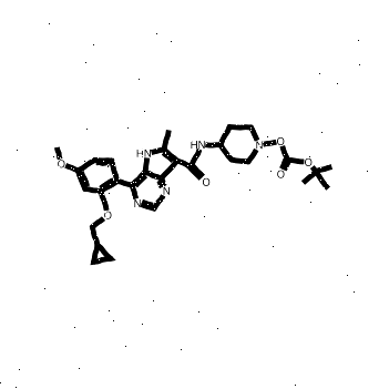 COc1ccc(-c2ncnc3c(C(=O)NC4CCN(OC(=O)OC(C)(C)C)CC4)c(C)[nH]c23)c(OCC2CC2)c1